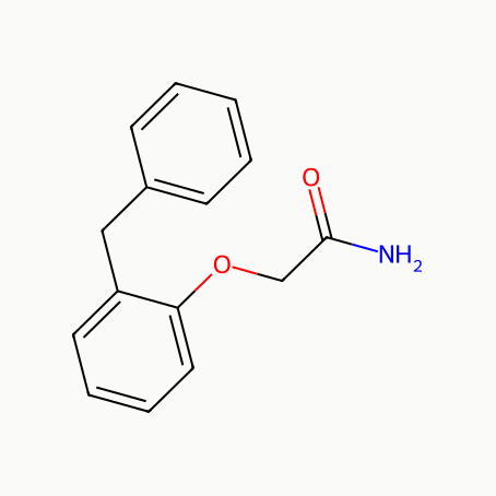 NC(=O)COc1ccccc1Cc1ccccc1